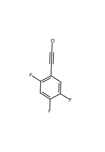 Fc1cc(F)c(C#CCl)cc1F